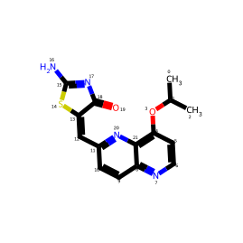 CC(C)Oc1ccnc2ccc(C=C3SC(N)=NC3=O)nc12